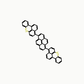 c1ccc2c(c1)Sc1ccc(-c3ccc4ccc5c(-c6ccc7c8c(cccc68)-c6ccccc6S7)ccc6ccc3c4c65)c3cccc-2c13